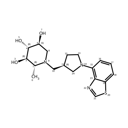 C[C@@H]1[C@@H](O)[C@H](O)[C@@H](O)CN1C[C@H]1CCN(c2cccc3scnc23)C1